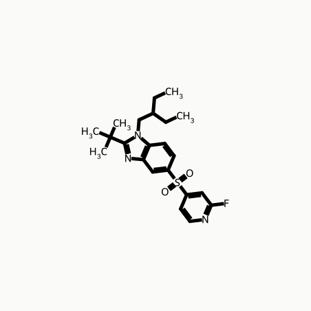 CCC(CC)Cn1c(C(C)(C)C)nc2cc(S(=O)(=O)c3ccnc(F)c3)ccc21